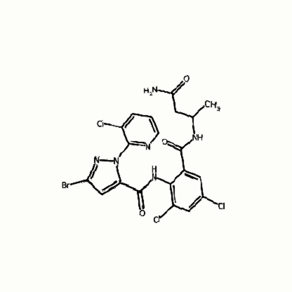 CC(CC(N)=O)NC(=O)c1cc(Cl)cc(Cl)c1NC(=O)c1cc(Br)nn1-c1ncccc1Cl